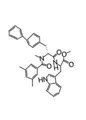 COC(=O)C(Cc1c[nH]c2ccccc12)NC(=O)[C@@H](Cc1ccc(-c2ccccc2)cc1)N(C)C(=O)c1cc(C)cc(C)c1